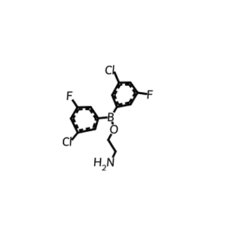 NCCOB(c1cc(F)cc(Cl)c1)c1cc(F)cc(Cl)c1